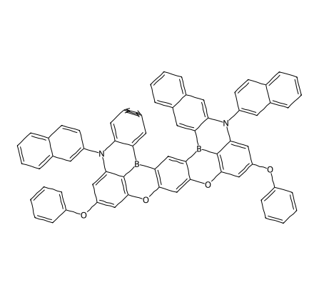 c1ccc(Oc2cc3c4c(c2)N(c2ccc5ccccc5c2)c2cc5ccccc5cc2B4c2cc4c(cc2O3)Oc2cc(Oc3ccccc3)cc3c2B4c2cc4ccccc4cc2N3c2ccc3ccccc3c2)cc1